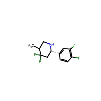 CC1CN[C@H](c2ccc(F)c(F)c2)CC1(F)F